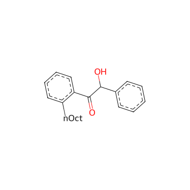 CCCCCCCCc1ccccc1C(=O)C(O)c1ccccc1